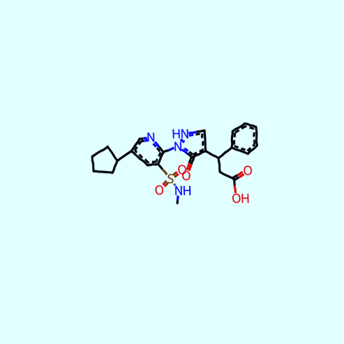 CNS(=O)(=O)c1cc(C2CCCC2)cnc1-n1[nH]cc(C(CC(=O)O)c2ccccc2)c1=O